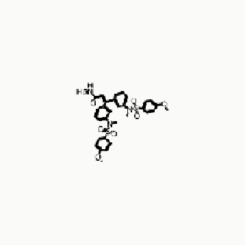 COc1ccc(S(=O)(=O)N(C)c2cccc(C(=CC(=O)NO)c3cccc(N(C)S(=O)(=O)c4ccc(OC)cc4)c3)c2)cc1